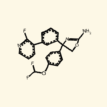 NC1=NC(c2ccc(OC(F)F)cc2)(c2cccc(-c3cccnc3F)c2)CO1